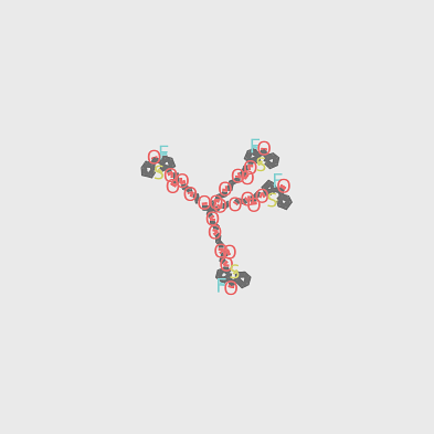 O=C(COc1ccc(F)c2c(=O)c3ccccc3sc12)OCCCOCCOCC(COCCOCCCOC(=O)COc1ccc(F)c2c(=O)c3ccccc3sc12)(COCCOCCOC(=O)COc1ccc(F)c2c(=O)c3ccccc3sc12)COCCOCCOC(=O)COc1ccc(F)c2c(=O)c3ccccc3sc12